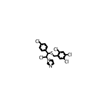 Clc1ccc(C(SCc2cc(Cl)c(Cl)cc2Cl)C(Cl)n2ccnc2)cc1